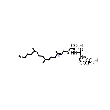 C/C(=C\CSC[C@H](NC(=O)N(CC(=O)O)CC(=O)O)C(=O)O)CCCC(C)CCCC(C)CCCC(C)C